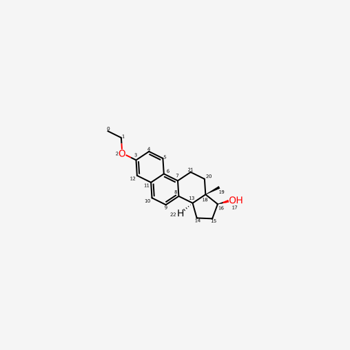 CCOc1ccc2c3c(ccc2c1)[C@@H]1CC[C@H](O)[C@@]1(C)CC3